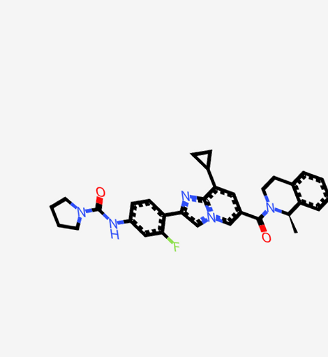 C[C@@H]1c2ccccc2CCN1C(=O)c1cc(C2CC2)c2nc(-c3ccc(NC(=O)N4CCCC4)cc3F)cn2c1